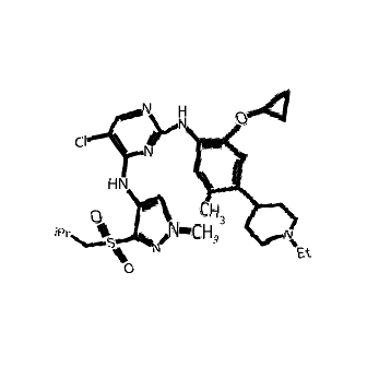 CCN1CCC(c2cc(OC3CC3)c(Nc3ncc(Cl)c(Nc4cn(C)nc4S(=O)(=O)CC(C)C)n3)cc2C)CC1